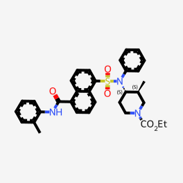 CCOC(=O)N1CC[C@H](N(c2ccccc2)S(=O)(=O)c2cccc3c(C(=O)Nc4ccccc4C)cccc23)[C@@H](C)C1